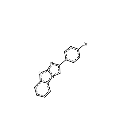 Brc1ccc(-c2cn3c(n2)sc2ccccc23)cc1